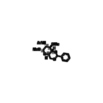 CO[C@H]1O[C@@H]2COC(c3ccccc3)O[C@H]2[C@H](OC)[C@H]1NC(C)=O